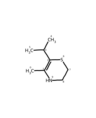 CC1=C(C(C)C)SCCN1